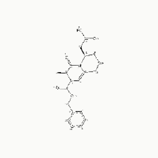 C[C@H]1C(=O)N2C(=CN1C(=O)OCc1ccccc1)COC[C@@H]2CC(=O)O